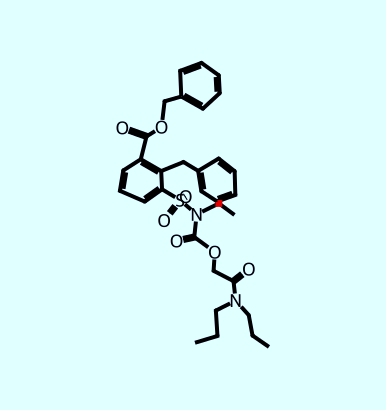 CCCN(CCC)C(=O)COC(=O)N(CC)S(=O)(=O)c1cccc(C(=O)OCc2ccccc2)c1Cc1ccccc1